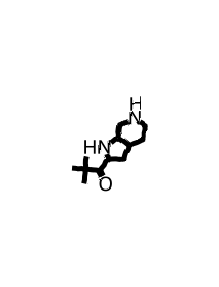 CC(C)(C)C(=O)C1CC2CCNCC2N1